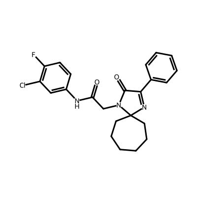 O=C(CN1C(=O)C(c2ccccc2)=NC12CCCCCC2)Nc1ccc(F)c(Cl)c1